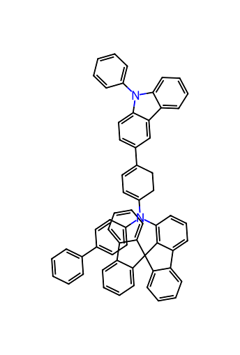 C1=C(c2ccc3c(c2)c2ccccc2n3-c2ccccc2)CCC(N(c2ccc(-c3ccccc3)cc2)c2cccc3c2C2(c4ccccc4-c4ccccc42)c2ccccc2-3)=C1